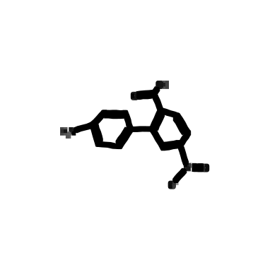 Nc1ccc(-c2cc([N+](=O)[O-])ccc2C(=O)O)cc1